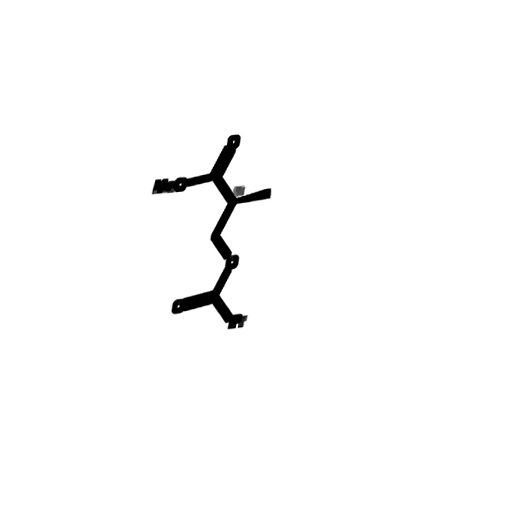 COC(=O)[C@@H](C)COC(=O)C(C)C